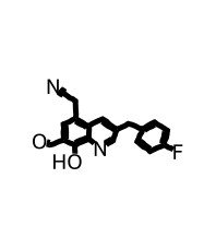 N#CCc1cc(C=O)c(O)c2ncc(Cc3ccc(F)cc3)cc12